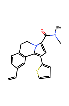 C=Cc1ccc2c(c1)-c1c(-c3cccs3)cc(C(=O)N(C)C(C)(C)C)n1CC2